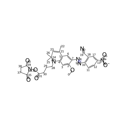 COc1cc2c(cc1/N=N/c1ccc([N+](=O)[O-])cc1C#N)C(C)=CC(C)(C)N2CCCC(=O)ON1C(=O)CCC1=O